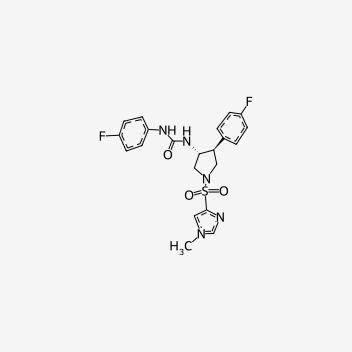 Cn1cnc(S(=O)(=O)N2C[C@H](NC(=O)Nc3ccc(F)cc3)[C@@H](c3ccc(F)cc3)C2)c1